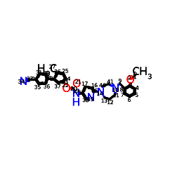 CCOc1ccccc1CN1CCCN(c2ccc(NC(=O)Oc3ccc(C)c(-c4ccc(C#N)cc4)c3)cn2)CC1